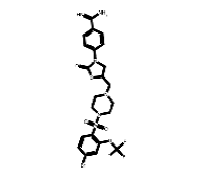 N=C(N)c1ccc(N2CC(CN3CCN(S(=O)(=O)c4ccc(Br)cc4OC(F)(F)F)CC3)OC2=O)cc1